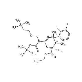 CCOC(=O)[C@@]1(C)SC(N(COCC[Si](C)(C)C)C(=O)OC(C)(C)C)=N[C@](C)(c2cccc(F)c2F)[C@@H]1C